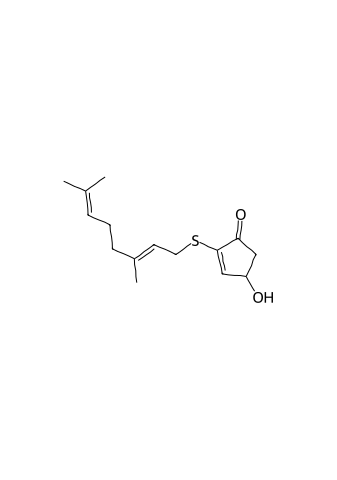 CC(C)=CCC/C(C)=C/CSC1=CC(O)CC1=O